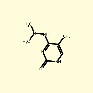 Cc1c[nH]c(=O)nc1NN(C)C